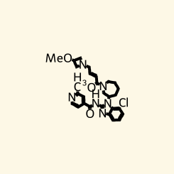 COC1CN(CC=CC(=O)N2CCCCC(n3c(NC(=O)c4ccnc(C)c4)nc4cccc(Cl)c43)C2)C1